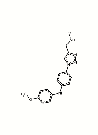 CCNCc1cn(-c2ccc(Nc3ccc(OC(F)(F)F)cc3)cc2)nn1